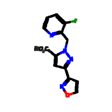 CCOC(=O)c1cc(-c2ccon2)nn1Cc1ncccc1F